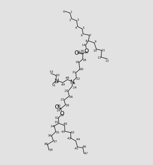 CCCCCCCCC(CCCCC)COC(=O)CCCCCN(CCCCCC(=O)OCC(CCCCCC)CCCCCCCC)CCN(C)CC